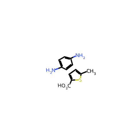 Cc1ccc(C(=O)O)s1.Nc1ccc(N)cc1